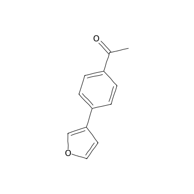 CC(=O)c1ccc(-c2ccoc2)cc1